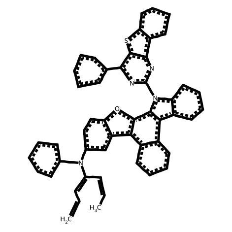 C=C/C=C(\C=C/C)N(c1ccccc1)c1ccc2oc3c(c2c1)c1ccccc1c1c2ccccc2n(-c2nc(-c4ccccc4)c4sc5ccccc5c4n2)c31